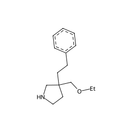 CCOCC1(CCc2ccccc2)CCNC1